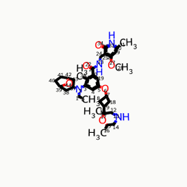 CCN(c1cc(OC2CC(C3(C)CNCC(C)O3)C2)cc(C(=O)NCc2c(OC)cc(C)[nH]c2=O)c1C)C1CC2CCC(C1)O2